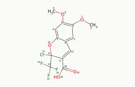 COc1cc2c(cc1OC)OC(Cl)(C(F)(F)F)C(C(=O)O)=C2